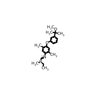 CCN(C)/C=N/c1cc(C)c(Oc2cccc(C(C)(C)OC)c2)cc1C